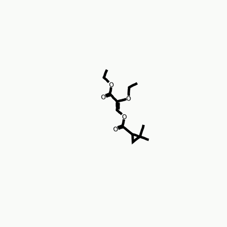 CCOC(=O)C(=COC(=O)C1CC1(C)C)OCC